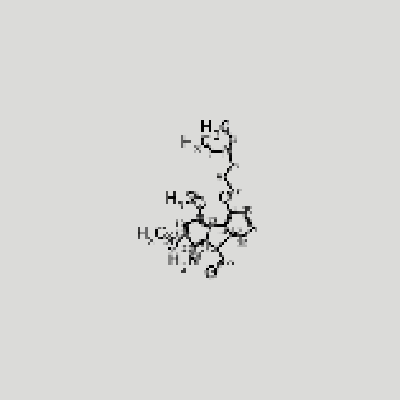 CCN(CC)CCCOc1cccc2c1-c1c(OC)cc(OC)c(N)c1C2C=O